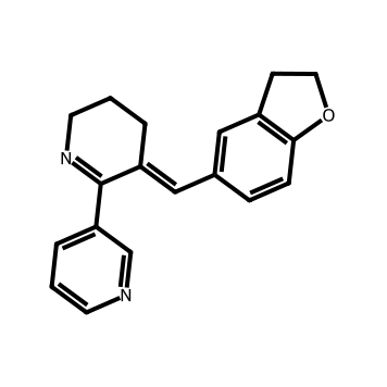 C(=C1CCCN=C1c1cccnc1)c1ccc2c(c1)CCO2